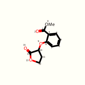 COC(=O)c1ccccc1OC1CCOC1=O